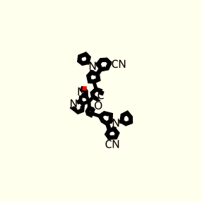 N#Cc1ccc2c(c1)c1cc(-c3ccc4c(c3)C3(c5cccnc5-c5ncccc53)c3cccc(-c5ccc6c(c5)c5cc(C#N)ccc5n6-c5ccccc5)c3O4)ccc1n2-c1ccccc1